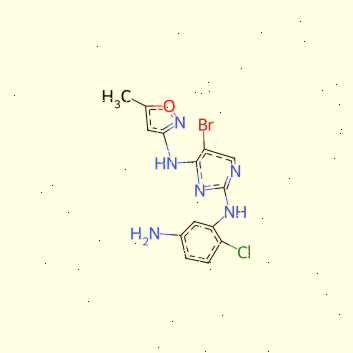 Cc1cc(Nc2nc(Nc3cc(N)ccc3Cl)ncc2Br)no1